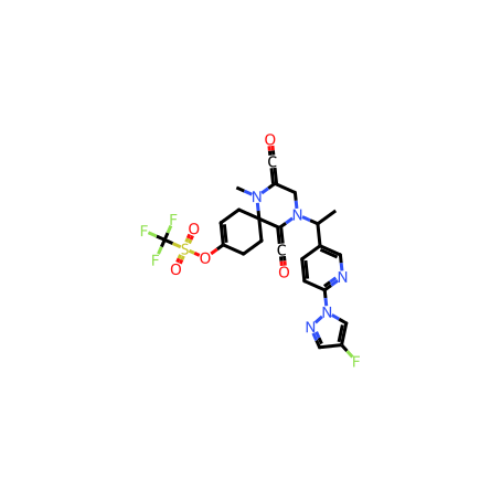 CC(c1ccc(-n2cc(F)cn2)nc1)N1CC(=C=O)N(C)C2(CC=C(OS(=O)(=O)C(F)(F)F)CC2)C1=C=O